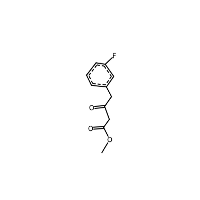 COC(=O)CC(=O)Cc1cccc(F)c1